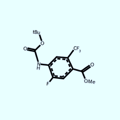 COC(=O)c1cc(F)c(NC(=O)OC(C)(C)C)cc1C(F)(F)F